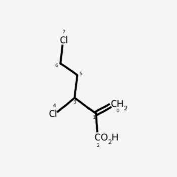 C=C(C(=O)O)C(Cl)CCCl